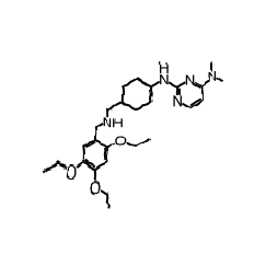 CCOc1cc(OCC)c(OCC)cc1CNCC1CCC(Nc2nccc(N(C)C)n2)CC1